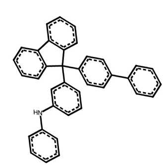 c1ccc(Nc2cccc(C3(c4ccc(-c5ccccc5)cc4)c4ccccc4-c4ccccc43)c2)cc1